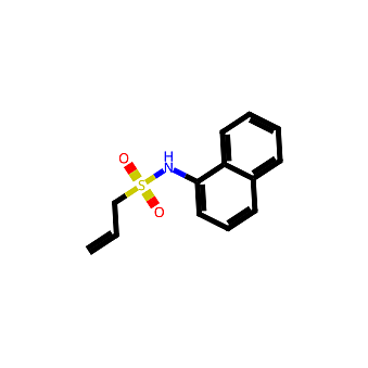 C=CCS(=O)(=O)Nc1cccc2ccccc12